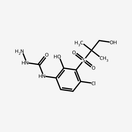 CC(C)(CO)S(=O)(=O)c1c(Cl)ccc(NC(=O)NN)c1O